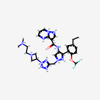 CCc1ccc(OC(F)F)c(-c2nn(Cc3nnn(C4CN(CCN(C)C)C4)n3)cc2NC(=O)c2cnn3cccnc23)c1